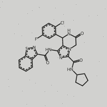 O=C1Cn2c(C(=O)NC3CCCC3)nc(NC(=O)c3nsc4ccccc34)c2C(c2cc(F)ccc2Cl)N1